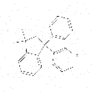 C/C=C\C(=C/CC)C1(c2ccccc2)CC(C)(C)c2ccccc21